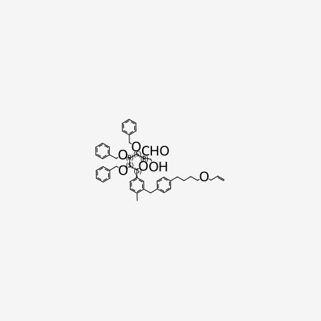 C=CCOCCCCc1ccc(Cc2cc([C@@H]3O[C@](C=O)(CO)[C@@H](OCc4ccccc4)[C@H](OCc4ccccc4)[C@H]3OCc3ccccc3)ccc2C)cc1